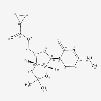 CC1(C)O[C@@H]2[C@H](O1)C(COC(=O)C1CC1)O[C@H]2n1ccc(NO)nc1=O